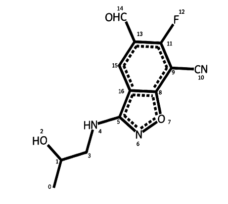 CC(O)CNc1noc2c(C#N)c(F)c(C=O)cc12